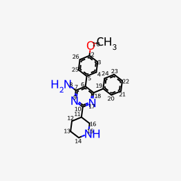 COc1ccc(-c2c(N)nc(C3CCCNC3)nc2-c2ccccc2)cc1